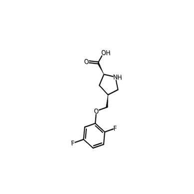 O=C(O)[C@@H]1C[C@H](COc2cc(F)ccc2F)CN1